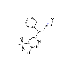 CS(=O)(=O)c1cc(N(C/C=C/Cl)c2ccccc2)nnc1Cl